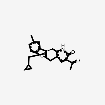 CC(=O)c1cc2c([nH]c1=O)C[C@@]13CCN(CC4CC4)C[C@@]1(Cc1ccc(C)cc13)C2